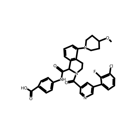 COC1CCN(c2cccc3c2CCN(C(=O)c2cncc(-c4cccc(Cl)c4F)c2)C3C(=O)Nc2ccc(C(=O)O)cc2)CC1